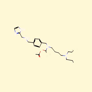 CCCN(CCC)CCCCN(Cc1ccc(CNCc2ncc[nH]2)cc1)C(C)OC(C)=O